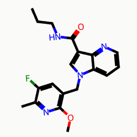 CCCNC(=O)c1cn(Cc2cc(F)c(C)nc2OC)c2cccnc12